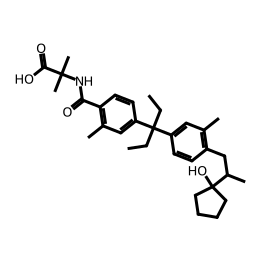 CCC(CC)(c1ccc(CC(C)C2(O)CCCC2)c(C)c1)c1ccc(C(=O)NC(C)(C)C(=O)O)c(C)c1